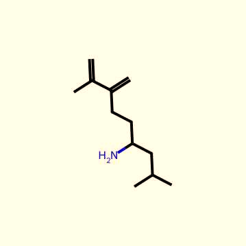 C=C(C)C(=C)CCC(N)CC(C)C